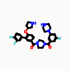 O=C(c1cc(F)cc(N2CCNCC2)c1)N1CCN(C(=O)c2ccc(O[C@H]3CCNC3)c(-c3ccc(F)c(F)c3)c2)CC1